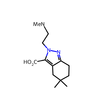 CNCCn1nc2c(c1C(=O)O)CC(C)(C)CC2